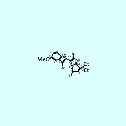 CCC(CC)c1cc(C)nn2c(-c3sc4ccc(OC)cc4c3C)c(C)nc12